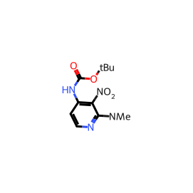 CNc1nccc(NC(=O)OC(C)(C)C)c1[N+](=O)[O-]